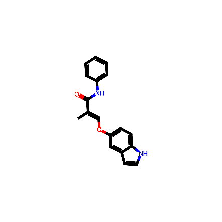 C/C(=C\Oc1ccc2[nH]ccc2c1)C(=O)Nc1ccccc1